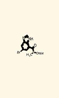 CON(C)C(=O)c1cc(Br)cc2nc[nH]c12